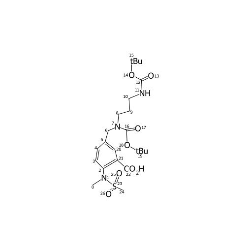 CN(c1ccc(CN(CCCNC(=O)OC(C)(C)C)C(=O)OC(C)(C)C)cc1C(=O)O)S(C)(=O)=O